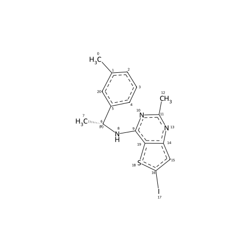 Cc1cccc([C@@H](C)Nc2nc(C)nc3cc(I)sc23)c1